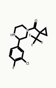 O=C(N1CCNC(c2ccc(F)c(Cl)c2)C1)C1(C(F)(F)F)CC1